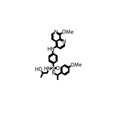 COc1ccc(C(C)N=S(=O)(NCC(C)O)c2ccc(Nc3ccnc4c(OC)nccc34)cc2)cc1